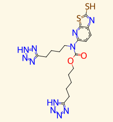 O=C(OCCCCCc1nnn[nH]1)N(CCCCc1nn[nH]n1)c1ccc2nc(S)sc2n1